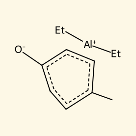 C[CH2][Al+][CH2]C.Cc1ccc([O-])cc1